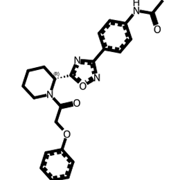 CC(=O)Nc1ccc(-c2noc([C@H]3CCCCN3C(=O)COc3ccccc3)n2)cc1